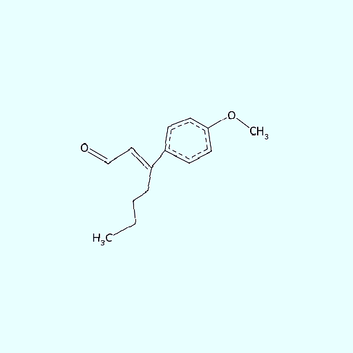 CCCC/C(=C\C=O)c1ccc(OC)cc1